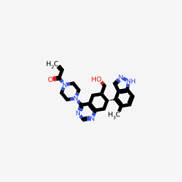 C=CC(=O)N1CCN(c2ncnc3c2CC(CO)[C@H](c2c(C)ccc4[nH]ncc24)C3)CC1